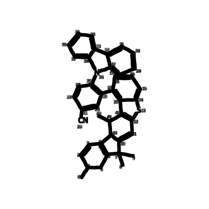 CC1C=CC2=C(C1)C(C)(C)C1=Cc3sc4cccc(-c5cc(C#N)ccc5-n5c6ccccc6c6ccccc65)c4c3C(C)C12